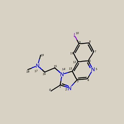 Cc1nc2cnc3ccc(I)cc3c2n1CCN(C)C